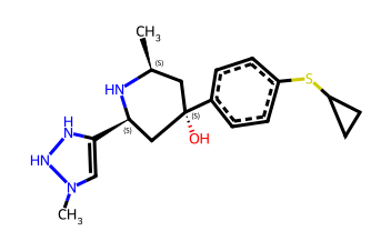 C[C@H]1C[C@@](O)(c2ccc(SC3CC3)cc2)C[C@@H](C2=CN(C)NN2)N1